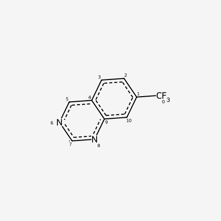 FC(F)(F)c1ccc2cn[c]nc2c1